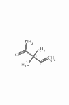 C=CC(C)(C)C(N)=O